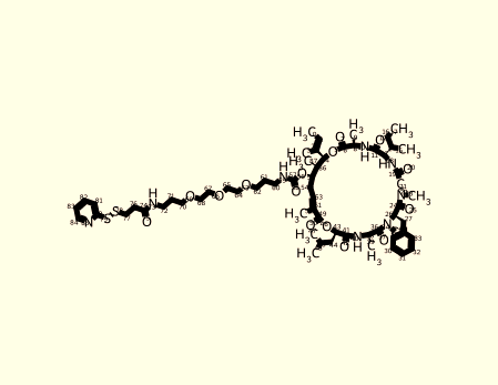 C/C=C(\C)[C@H]1OC(=O)[C@@H](C)NC(=O)[C@H](C(C)CC)NC(=O)CN(C)C(=O)[C@@H](Cc2ccccc2)N(C)C(=O)[C@H](C)NC(=O)[C@@H](CC(C)C)OC(=O)/C(C)=C/C[C@H](OC(=O)NCCCOCCOCCOCCCNC(=O)CCSSc2ccccn2)[C@@H]1C